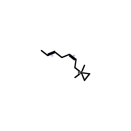 C/C=C/C/C=C\C[SH]1(C)(C)CC1